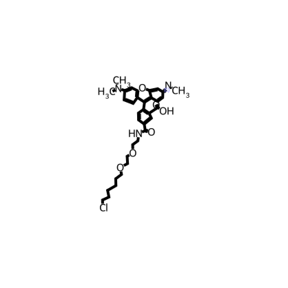 C/N=c1\ccc2c(-c3ccc(C(=O)NCCOCCOCCCCCCCl)cc3C(=O)O)c3ccc(N(C)C)cc3oc-2c1